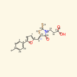 Cc1ccc(-c2ccc(/C=C3\SC(=S)N(CCC(=O)O)C3=O)o2)cc1